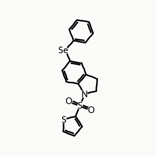 O=S(=O)(c1cccs1)N1CCc2cc([Se]c3ccccc3)ccc21